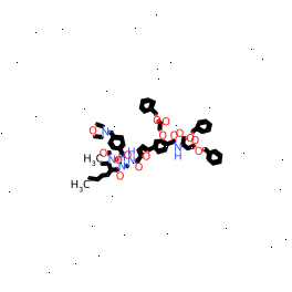 CCCCCC(C(=O)NCNC(=O)c1ccc(-c2ccc(C(=O)NC(CC(=O)OCc3ccccc3)C(=O)OCc3ccccc3)c(OCC(=O)OCc3ccccc3)c2)o1)C(CC)N(C=O)OC(=O)c1ccc(CN2CCOCC2)cc1